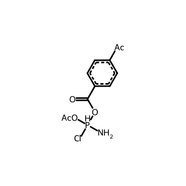 CC(=O)O[PH](N)(Cl)OC(=O)c1ccc(C(C)=O)cc1